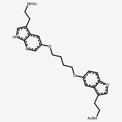 CC(=O)NCCc1c[nH]c2ncc(OCCCCOc3ccc4occ(CCNC(C)=O)c4c3)cc12